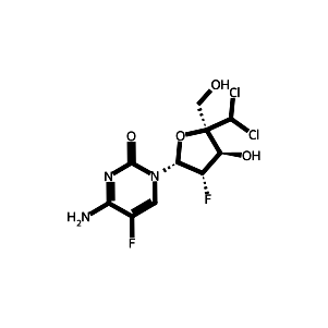 Nc1nc(=O)n([C@@H]2O[C@@](CO)(C(Cl)Cl)[C@@H](O)[C@@H]2F)cc1F